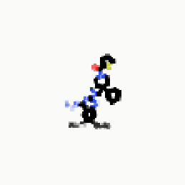 COc1cc2nc(N(C)CC3(c4ccccc4)CCN(C(=O)c4cccs4)CC3)nc(N)c2cc1OC